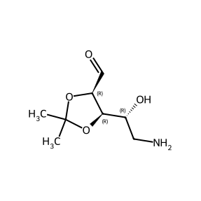 CC1(C)O[C@H]([C@H](O)CN)[C@H](C=O)O1